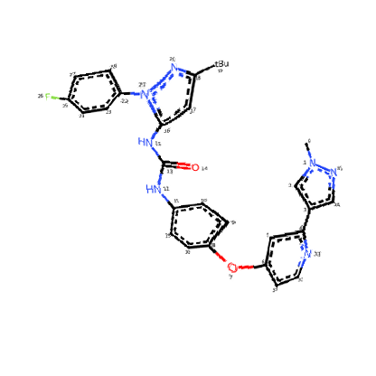 Cn1cc(-c2cc(Oc3ccc(NC(=O)Nc4cc(C(C)(C)C)nn4-c4ccc(F)cc4)cc3)ccn2)cn1